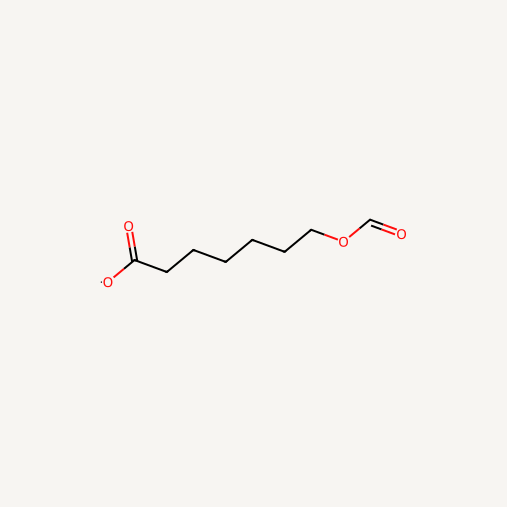 [O]C(=O)CCCCCCOC=O